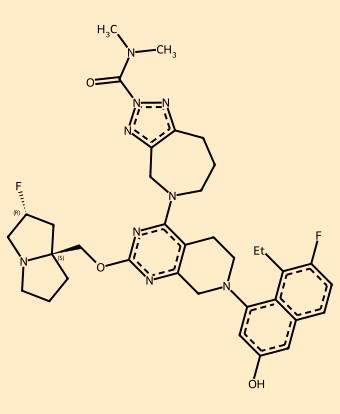 CCc1c(F)ccc2cc(O)cc(N3CCc4c(nc(OC[C@@]56CCCN5C[C@H](F)C6)nc4N4CCCc5nn(C(=O)N(C)C)nc5C4)C3)c12